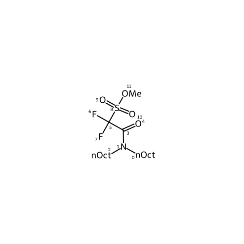 CCCCCCCCN(CCCCCCCC)C(=O)C(F)(F)S(=O)(=O)OC